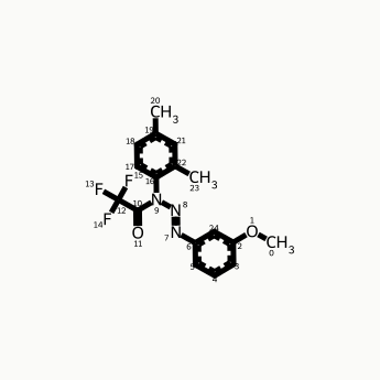 COc1cccc(/N=N/N(C(=O)C(F)(F)F)c2ccc(C)cc2C)c1